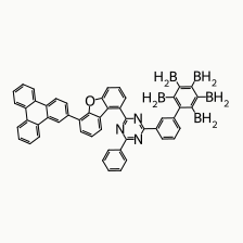 Bc1c(B)c(B)c(-c2cccc(-c3nc(-c4ccccc4)nc(-c4cccc5oc6c(-c7ccc8c9ccccc9c9ccccc9c8c7)cccc6c45)n3)c2)c(B)c1B